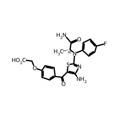 C[C@H](C(N)=O)N(c1ccc(F)cc1)c1nc(N)c(C(=O)c2ccc(OCC(=O)O)cc2)s1